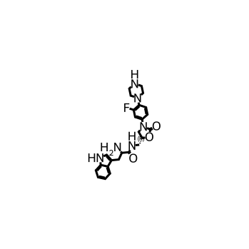 NC(Cc1c[nH]c2ccccc12)C(=O)NC[C@@H]1CN(c2ccc(N3CCNCC3)c(F)c2)C(=O)O1